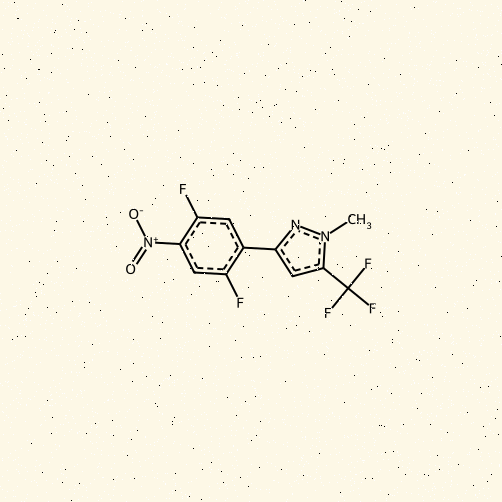 Cn1nc(-c2cc(F)c([N+](=O)[O-])cc2F)cc1C(F)(F)F